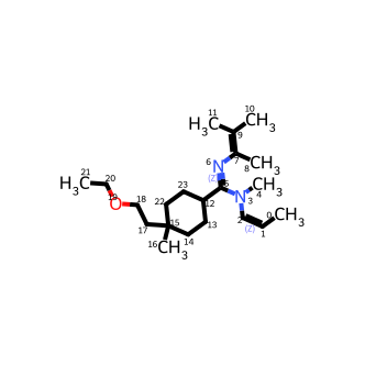 C/C=C\N(C)/C(=N\C(C)=C(C)C)C1CCC(C)(CCOCC)CC1